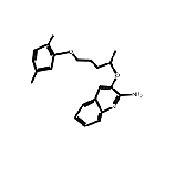 Cc1ccc(C)c(OCCCC(C)Oc2cc3ccccc3nc2N)c1